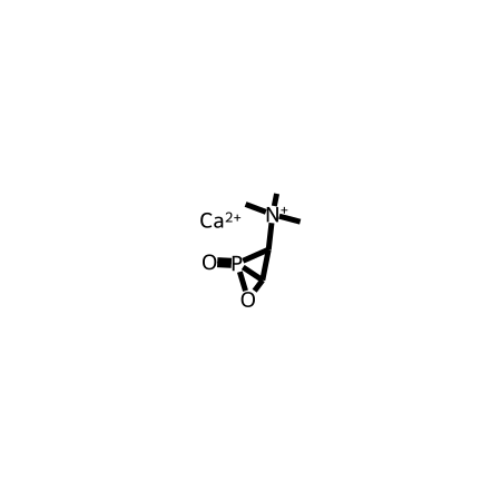 C[N+](C)(C)C1C2OP21=O.[Ca+2]